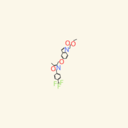 CCOC(=O)Cn1ccc2cc(OCc3nc(-c4ccc(C(F)(F)F)cc4)oc3C)ccc21